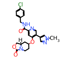 Cn1cc(-c2cnc(C(=O)NCc3ccc(Cl)cc3)cc2O[C@H]2CCN3C(=O)OC[C@@H]3C2)cn1